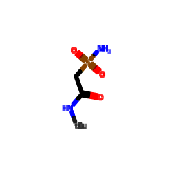 CC(C)(C)NC(=O)CS(N)(=O)=O